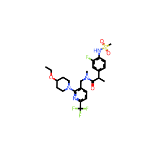 CCOC1CCN(c2nc(C(F)(F)F)ccc2CN(C)C(=O)C(C)c2ccc(NS(C)(=O)=O)c(F)c2)CC1